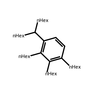 CCCCCC[C](CCCCCC)c1ccc(CCCCCC)c(CCCCCC)c1CCCCCC